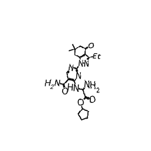 CCc1nn(-c2ncc(C(N)=O)c(NC(N)C(=O)OC3CCCC3)n2)c2c1C(=O)CC(C)(C)C2